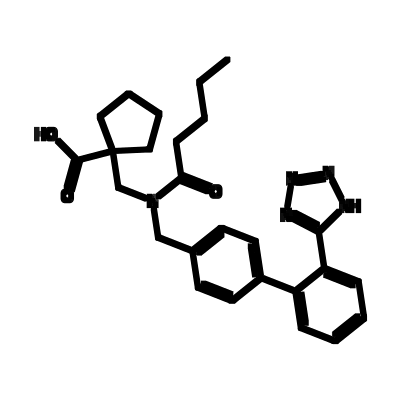 CCCCC(=O)N(Cc1ccc(-c2ccccc2-c2nnn[nH]2)cc1)CC1(C(=O)O)CCCC1